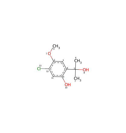 COc1cc(C(C)(C)O)c(O)cc1Cl